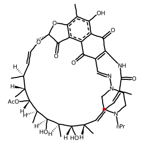 CCCN1CCN(/N=C/C2=C3NC(=O)/C(C)=C\C=C\[C@H](C)[C@H](O)[C@@H](C)[C@@H](O)[C@@H](C)[C@H](OC(C)=O)[C@H](C)[C@@H](C)/C=C/O[C@@]4(C)Oc5c(C)c(O)c(c(c5C4=O)C2=O)C3=O)CC1